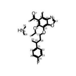 CCOc1c(C(C)=O)c(C)c2ncoc2c1OCCC(C)c1ccc(F)cc1.CNC